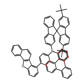 CC(C)(C)c1ccc2c(c1)C1(c3ccccc3-c3ccc(N(c4ccc(-c5cccc6oc7c8ccccc8ccc7c56)cc4)c4ccccc4-c4ccccc4-c4ccccc4-c4ccccc4)cc31)c1cc(C(C)(C)C)ccc1-2